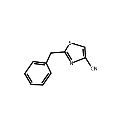 N#Cc1csc(Cc2ccccc2)n1